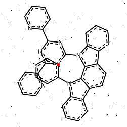 c1ccc(-n2c3ccccc3c3ccc4c5ccccc5n(-c5nc(-c6ccccn6)nc(-c6ccccn6)n5)c4c32)cc1